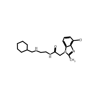 Cc1nc2c(Cl)cccc2n1CC(=O)NCCNCC1CCCCC1